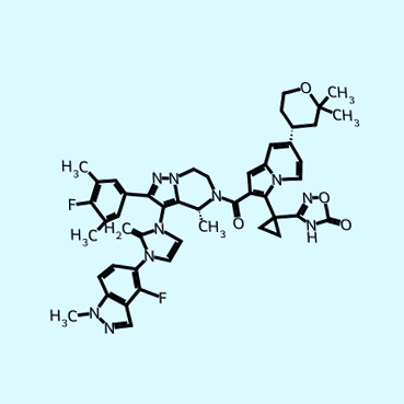 C=C1N(c2ccc3c(cnn3C)c2F)C=CN1c1c(-c2cc(C)c(F)c(C)c2)nn2c1[C@@H](C)N(C(=O)c1cc3cc([C@@H]4CCOC(C)(C)C4)ccn3c1C1(c3noc(=O)[nH]3)CC1)CC2